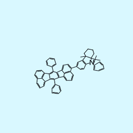 CC(C)(C)C12CCCCC1(C)c1cc(-c3ccc4c5c(-c6ccccc6)c6c7cccc8cccc(c6c(-c6ccccc6)c5c5cccc3c54)c87)ccc1N2c1ccccc1